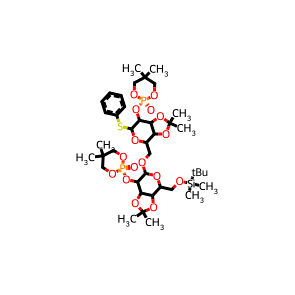 CC1(C)COP(=O)(OC2C(OCC3OC(Sc4ccccc4)C(OP4(=O)OCC(C)(C)CO4)C4OC(C)(C)OC34)OC(CO[Si](C)(C)C(C)(C)C)C3OC(C)(C)OC32)OC1